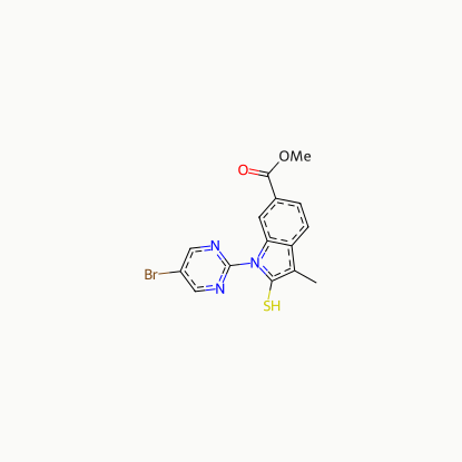 COC(=O)c1ccc2c(C)c(S)n(-c3ncc(Br)cn3)c2c1